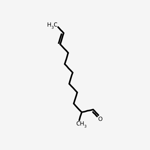 C/C=C/CCCCCCC(C)C=O